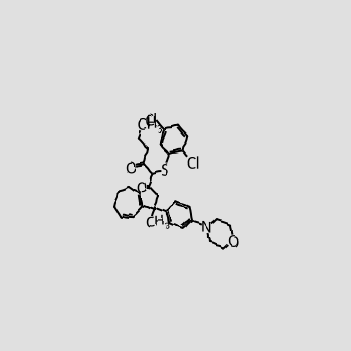 CCCC(=O)C(Sc1cc(Cl)ccc1Cl)C(=O)CC(C)(C1=CCCCC=C1)c1ccc(N2CCOCC2)cc1